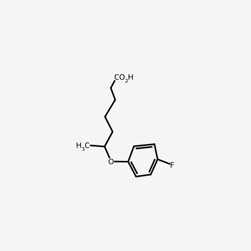 CC(CCCCC(=O)O)Oc1ccc(F)cc1